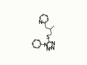 CC(CSc1nnnn1-c1ccccc1)Cc1ccccn1